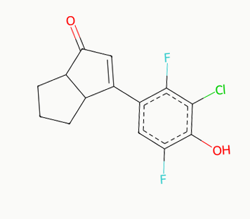 O=C1C=C(c2cc(F)c(O)c(Cl)c2F)C2CCCC12